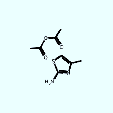 CC(=O)OC(C)=O.Cc1csc(N)n1